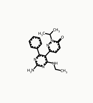 CCNc1nc(N)nc(-c2ccccc2)c1-c1ccc(=O)n(C(C)C)n1